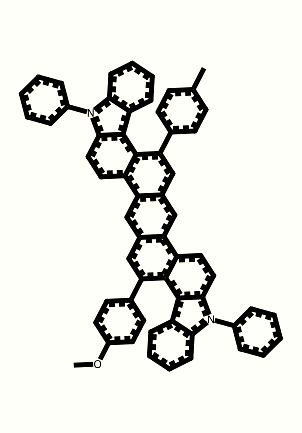 COc1ccc(-c2cc3cc4c(cc(-c5ccc(C)cc5)c5c4ccc4c5c5ccccc5n4-c4ccccc4)cc3c3ccc4c(c5ccccc5n4-c4ccccc4)c23)cc1